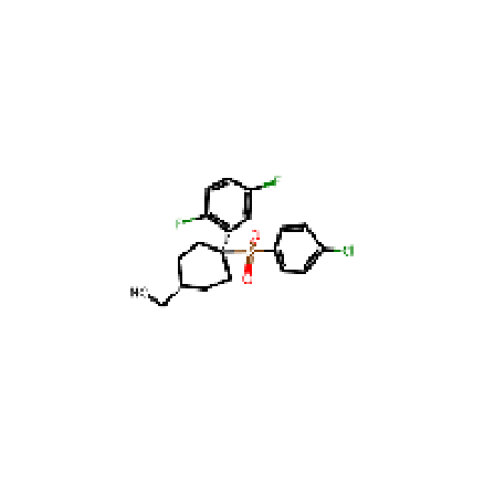 N#CC[C@H]1CC[C@@](c2cc(F)ccc2F)(S(=O)(=O)c2ccc(Cl)cc2)CC1